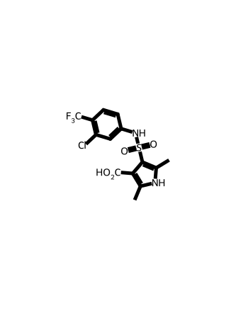 Cc1[nH]c(C)c(S(=O)(=O)Nc2ccc(C(F)(F)F)c(Cl)c2)c1C(=O)O